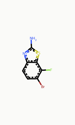 Nc1nc2ccc(Br)c(F)c2s1